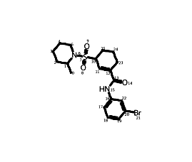 CC1CCCCN1S(=O)(=O)C1C=C(C(=O)Nc2cccc(Br)c2)CCC1